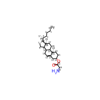 CC(C)CCC[C@@H](C)[C@H]1CCC2C3CC=C4CC(OC(=O)CN)CC[C@]4(C)C3CC[C@@]21C